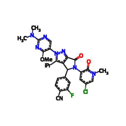 COc1nc(N(C)C)ncc1-n1nc2c(c1C(C)C)C(c1ccc(C#N)c(F)c1)N(c1cc(Cl)cn(C)c1=O)C2=O